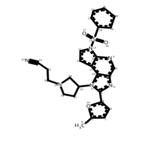 Cc1ccc(-c2nc3cnc4c(ccn4S(=O)(=O)c4ccccc4)c3n2C2CCN(CCC#N)C2)o1